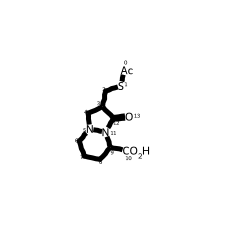 CC(=O)SCC1CN2CCCC(C(=O)O)N2C1=O